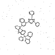 c1ccc(-c2nc(-c3ccccc3)nc(-c3ccc(-c4cccc5sc6cc(C7(c8ccccc8)c8ccccc8-c8ccccc87)ccc6c45)c4ccccc34)n2)cc1